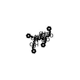 CC(C)(C)OC(=O)NC(CC(=O)NC(CCC(=O)OCc1ccccc1)C(=O)OCc1ccccc1)C(=O)NC(CCC(=O)OCc1ccccc1)C(=O)OCc1ccccc1